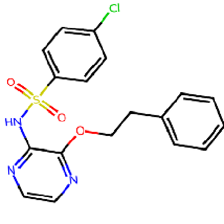 O=S(=O)(Nc1nccnc1OCCc1ccccc1)c1ccc(Cl)cc1